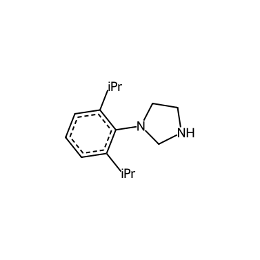 CC(C)c1cccc(C(C)C)c1N1CCNC1